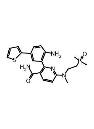 CN(CCP(C)(C)=O)c1ccc(C(N)=O)c(-c2cc(-c3cccs3)ccc2N)n1